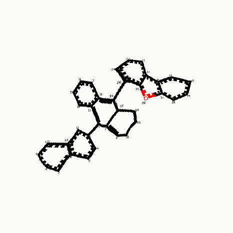 C1=C2C(c3ccc4ccccc4c3)=c3ccccc3=C(c3cccc4c3oc3ccccc34)C2CCC1